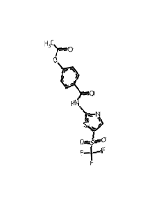 CC(=O)Oc1ccc(C(=O)Nc2ncc(S(=O)(=O)C(F)(F)F)s2)cc1